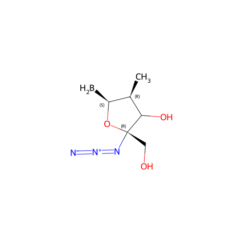 B[C@@H]1O[C@@](CO)(N=[N+]=[N-])C(O)[C@@H]1C